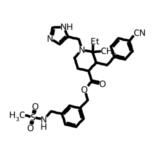 CCC1(C)C(Cc2ccc(C#N)cc2)C(C(=O)OCc2cccc(CNS(C)(=O)=O)c2)CCN1Cc1cnc[nH]1